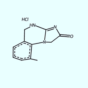 Cc1cccc2c1N1CC(=O)N=C1NC2.Cl